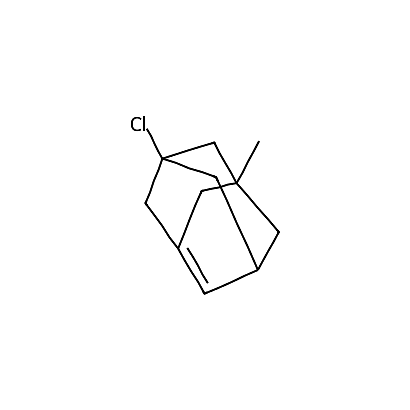 CC12CC3=CC(C1)CC(Cl)(C3)C2